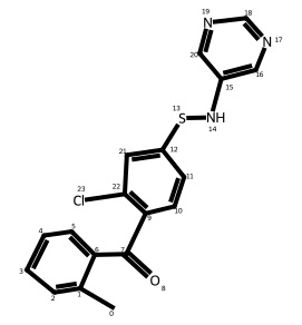 Cc1ccccc1C(=O)c1ccc(SNc2cncnc2)cc1Cl